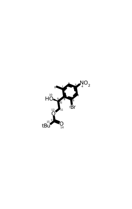 Cc1cc([N+](=O)[O-])cc(Br)c1[C@H](O)COC(=O)C(C)(C)C